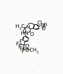 CC(=O)OC(c1ccc(NC(=O)C2c3ccc(S(=O)(=O)Cl)cc3CCN2C(C)=O)cc1)(C(F)(F)F)C(F)(F)F